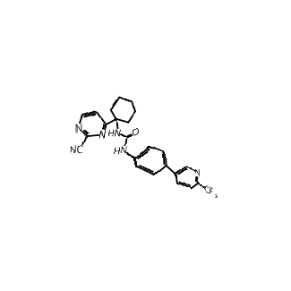 N#Cc1nccc(C2(NC(=O)Nc3ccc(-c4ccc(C(F)(F)F)nc4)cc3)CCCCC2)n1